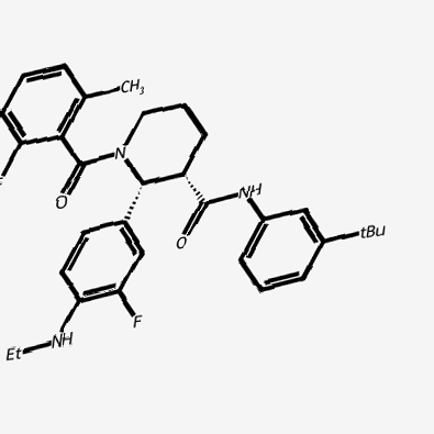 CCNc1ccc([C@H]2[C@@H](C(=O)Nc3cccc(C(C)(C)C)c3)CCCN2C(=O)c2c(C)cccc2F)cc1F